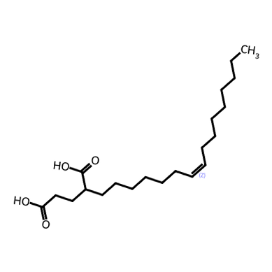 CCCCCCCC/C=C\CCCCCCC(CCC(=O)O)C(=O)O